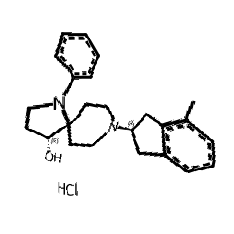 Cc1cccc2c1C[C@H](N1CCC3(CC1)[C@H](O)CCN3c1ccccc1)C2.Cl